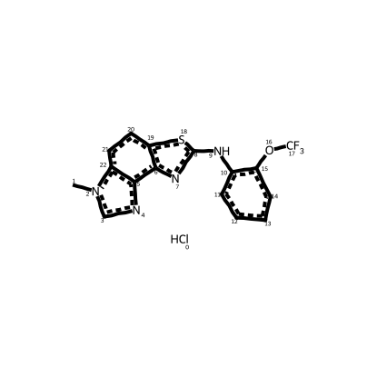 Cl.Cn1cnc2c3nc(Nc4ccccc4OC(F)(F)F)sc3ccc21